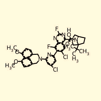 COc1ccc(CN(Cc2ccc(OC)cc2)c2cc(Cl)cc(-c3c(Cl)cc4c(N5CC6CCC(C(C)(C)C)(C5)N6C(=O)O)nc(F)nc4c3F)n2)cc1